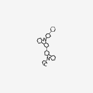 C1=CC(c2ccc(-n3c4ccccc4c4cc(-c5ccc6c(c5)c5ccccc5n6-c5ccccc5)ccc43)cc2)=CCC1